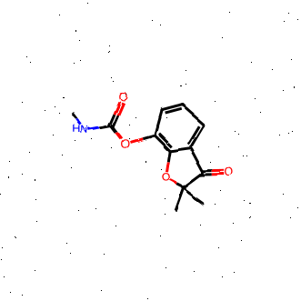 CNC(=O)Oc1cccc2c1OC(C)(C)C2=O